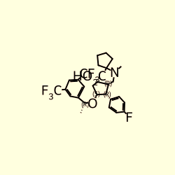 C[C@@H](O[C@H]1CC[C@@H](CN(C)C2(C(=O)O)CCCC2)[C@@H]1c1ccc(F)cc1)c1cc(C(F)(F)F)cc(C(F)(F)F)c1